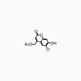 CC(=O)OCc1cc(=O)oc2cc(O)c(Cl)cc12